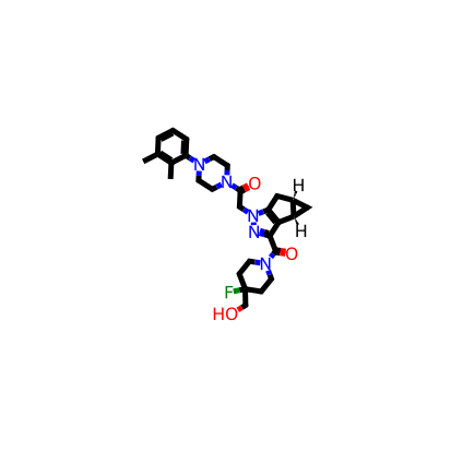 Cc1cccc(N2CCN(C(=O)Cn3nc(C(=O)N4CCC(F)(CO)CC4)c4c3C[C@H]3C[C@@H]43)CC2)c1C